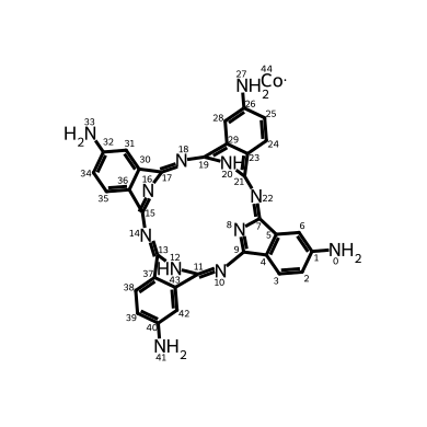 Nc1ccc2c(c1)-c1nc-2nc2[nH]c(nc3nc(nc4[nH]c(n1)c1ccc(N)cc41)-c1cc(N)ccc1-3)c1ccc(N)cc21.[Co]